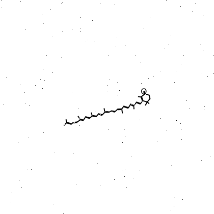 CC(C)=C/C=C/C(C)=C/C=C/C(C)=C/C=C/C(C)=C/C=C/C=C(C)/C=C/C=C(C)/C=C/C1=C(C)C(=O)CCC1(C)C